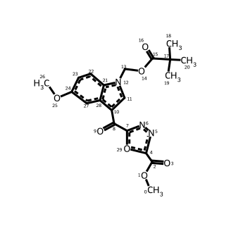 COC(=O)c1nnc(C(=O)c2cn(COC(=O)C(C)(C)C)c3ccc(OC)cc23)o1